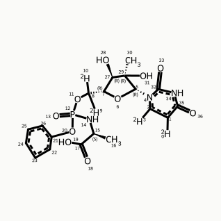 [2H]c1c([2H])n([C@@H]2O[C@H](C([2H])([2H])OP(=O)(N[C@@H](C)C(=O)O)Oc3ccccc3)[C@@H](O)[C@@]2(C)O)c(=O)[nH]c1=O